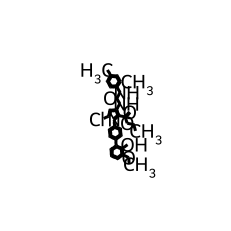 CCOC(=O)c1c(NC(=O)Nc2ccc(C)cc2C)cc(Cl)n1-c1ccc(-c2cccc(OC)c2O)cc1